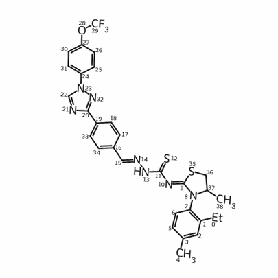 CCc1cc(C)ccc1N1/C(=N/C(=S)N/N=C/c2ccc(-c3ncn(-c4ccc(OC(F)(F)F)cc4)n3)cc2)SCC1C